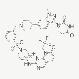 Cn1nc(N2CCC(=O)NC2=O)c2ccc(C3CCN(Cc4cccc(S(=O)(=O)N5CC[C@H](Nc6ncc7ccc(=O)n(CC(F)(F)F)c7n6)[C@H](F)C5)c4)CC3)cc21